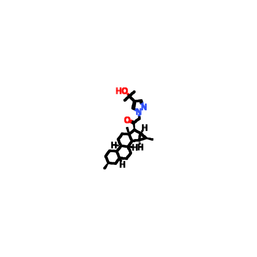 C[C@H]1CCC2[C@H](CC[C@H]3C4[C@@H]5[C@H](C)[C@@H]5[C@H](C(=O)Cn5cc(C(C)(C)O)cn5)[C@@]4(C)CC[C@H]23)C1